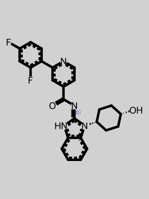 O=C(/N=c1\[nH]c2ccccc2n1[C@H]1CC[C@@H](O)CC1)c1ccnc(-c2ccc(F)cc2F)c1